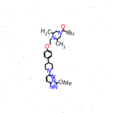 CCC(C)C(=O)N1CC(C)N(CCOc2ccc(C3CCN(c4ccc5nnc(OC)n5n4)CC3)cc2)C(C)C1